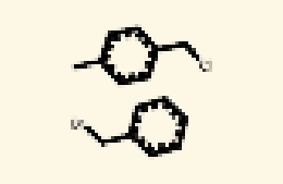 BrCc1ccccc1.Cc1ccc(CCl)cc1